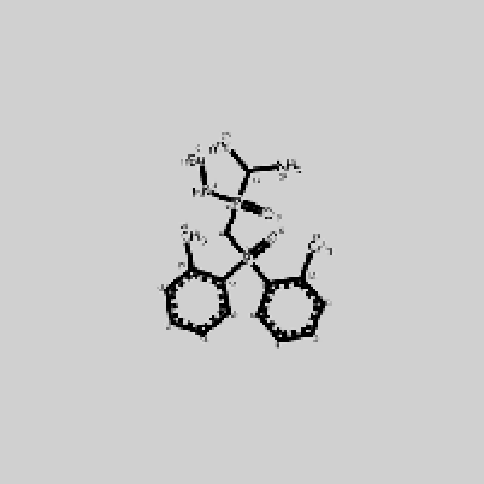 CCCCNP(=O)(CP(=O)(c1ccccc1C)c1ccccc1C)C(N)CCC